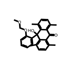 COCOc1ccccc1C1(O)c2c(C)ccc(C)c2C(=O)c2c(C)ccc(C)c21